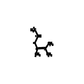 CNCC(C)=C(C)C